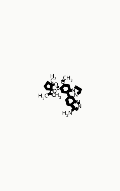 COc1cc(-n2cccn2)c(-c2ccc3c(N)cnnc3c2)cc1B1O[C@]2(C(C)C)CCC[C@]2(C)O1